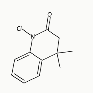 CC1(C)CC(=O)N(Cl)c2ccccc21